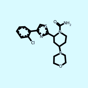 NC(=O)N1CCC(N2CCOCC2)CC1c1nc(-c2ccccc2Cl)cs1